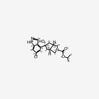 CC(C)OC(=O)N1C[C@@H]2C[C@@](O)(c3cc(Cl)cc4[nH]ncc34)C[C@@H]2C1